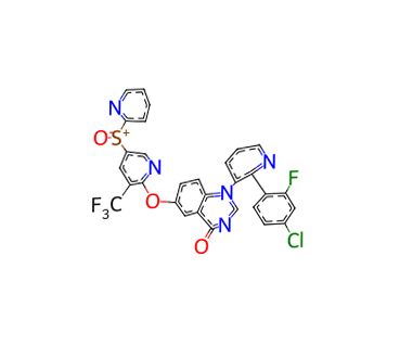 O=c1ncn(-c2cccnc2-c2ccc(Cl)cc2F)c2ccc(Oc3ncc([S+]([O-])c4ccccn4)cc3C(F)(F)F)cc12